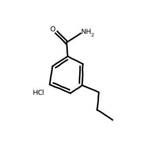 CCCc1cccc(C(N)=O)c1.Cl